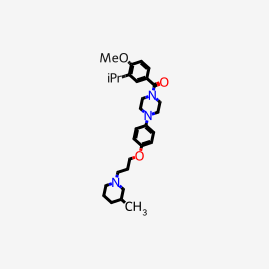 COc1ccc(C(=O)N2CCN(c3ccc(OCCCN4CCCC(C)C4)cc3)CC2)cc1C(C)C